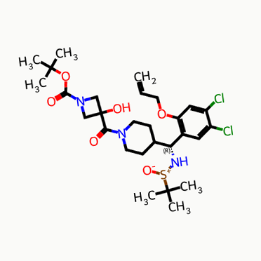 C=CCOc1cc(Cl)c(Cl)cc1[C@H](N[S+]([O-])C(C)(C)C)C1CCN(C(=O)C2(O)CN(C(=O)OC(C)(C)C)C2)CC1